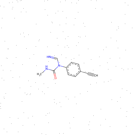 C#Cc1ccc(N(C=N)C(=O)NC)cc1